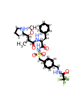 CO[C@@H]([C@@H]1CCCN1)[C@@H](C)C(=O)N[C@@H](Cc1ccccc1)C(=O)NS(=O)(=O)Cc1ccc(CNC(=O)C(F)(F)F)cc1